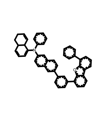 C1=CC2CCC=CC2C(N(c2ccccc2)c2ccc3cc(-c4cccc(-c5cccc6c5oc5c(-c7ccccc7)cccc56)c4)ccc3c2)=C1